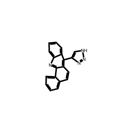 c1ccc2c(c1)ccc1c(-c3c[nH]nn3)c3ccccc3nc12